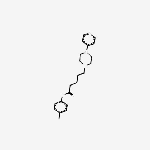 Cc1ccc(OC(=O)CCCCN2CCN(c3ccncc3)CC2)cc1